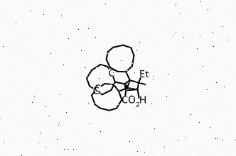 CCC1(C)C2(C)C(C(=O)O)=C(C3CCCCCCCCC3)C1(C1CCCCCCCCC1)C2C1CCCCCCCCC1